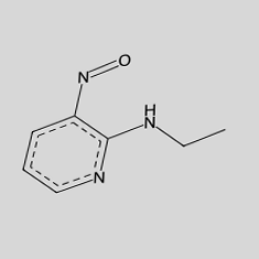 CCNc1ncccc1N=O